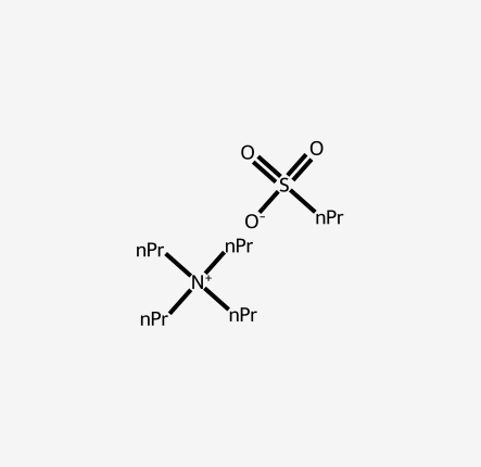 CCCS(=O)(=O)[O-].CCC[N+](CCC)(CCC)CCC